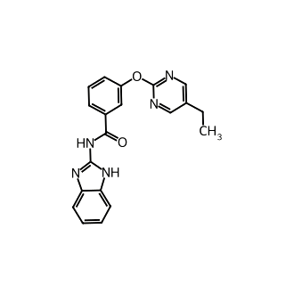 CCc1cnc(Oc2cccc(C(=O)Nc3nc4ccccc4[nH]3)c2)nc1